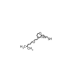 CC(C)CCCOCCN1CCOC(CNCS)C1